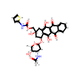 C[C@@H]1O[C@@H](O[C@H]2C[C@](O)(COC(=O)Nc3cccs3)Cc3c(O)c4c(c(O)c32)C(=O)c2ccccc2C4=O)C[C@H](NC(=O)C(F)(F)F)[C@@H]1O